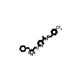 C/C(=N\OCc1ccc(C(F)(F)F)cc1)c1ccc(OCc2nnnn2CC2CCCCC2)nc1